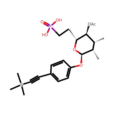 CC(=O)O[C@H]1[C@H](C)[C@H](C)[C@@H](Oc2ccc(C#C[Si](C)(C)C)cc2)O[C@@H]1CCP(=O)(O)O